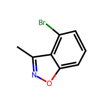 Cc1noc2cccc(Br)c12